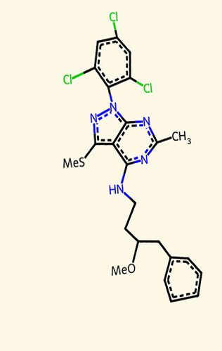 COC(CCNc1nc(C)nc2c1c(SC)nn2-c1c(Cl)cc(Cl)cc1Cl)Cc1ccccc1